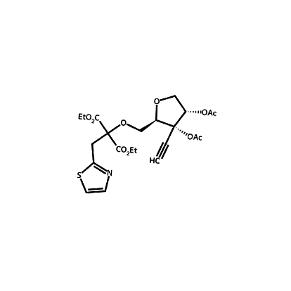 C#C[C@]1(OC(C)=O)[C@@H](OC(C)=O)CO[C@@H]1COC(Cc1nccs1)(C(=O)OCC)C(=O)OCC